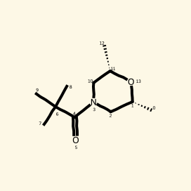 C[C@@H]1CN(C(=O)C(C)(C)C)C[C@H](C)O1